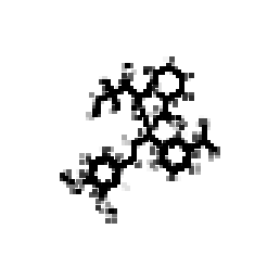 CCC(C)(C)C(=O)C(=O)N1CCCCC1C(=O)OC(CCc1ccc(OC)c(OC)c1)c1cccc(C(C)C)c1